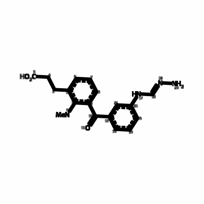 CNc1c(CCC(=O)O)cccc1C(=O)c1cccc(NC=NN)c1